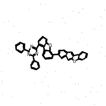 c1ccc(-c2nc(-c3ccccc3)nc(-c3cccc4oc5c(-c6ccc7cc8c(cc7c6)oc6ccccc68)cccc5c34)n2)cc1